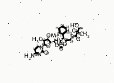 CO[C@H]1[C@H](C)[C@H](n2ccc(N)nc2=O)O[C@@H]1COP(=O)(NCc1ccccc1)OCCSC(=O)C(C)(C)CO